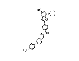 N#Cc1cc(N2CCCCC2)c2oc(-c3ccc(NC(=O)CN4CCN(c5ccc(C(F)(F)F)cc5)CC4)cc3)nc2c1